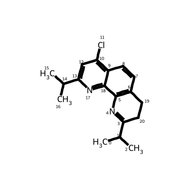 CC(C)C1=Nc2c(ccc3c(Cl)cc(C(C)C)nc23)CC1